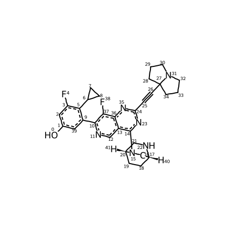 Oc1cc(F)c(C2CC2)c(-c2ncc3c(N4C[C@H]5CC[C@@H]4CN5)nc(C#CC45CCCN4CCC5)nc3c2F)c1